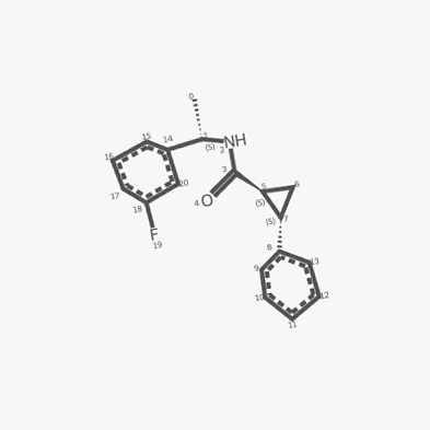 C[C@H](NC(=O)[C@H]1C[C@@H]1c1ccccc1)c1cccc(F)c1